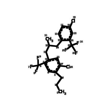 CCCc1cc(C(F)(F)F)c(CC(C)Cc2ccc(Cl)cc2C(F)(F)F)cc1Cl